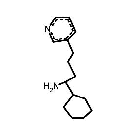 NC(CCCc1cccnc1)C1CCCCC1